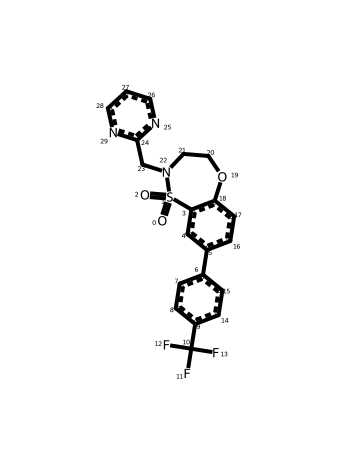 O=S1(=O)c2cc(-c3ccc(C(F)(F)F)cc3)ccc2OCCN1Cc1ncccn1